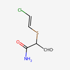 NC(=O)C([C]=O)S/C=C/Cl